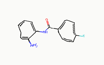 Nc1ccccc1NC(=O)c1ccc(F)cc1